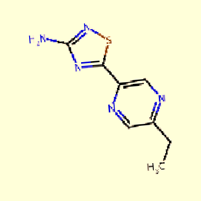 CCc1cnc(-c2nc(N)ns2)cn1